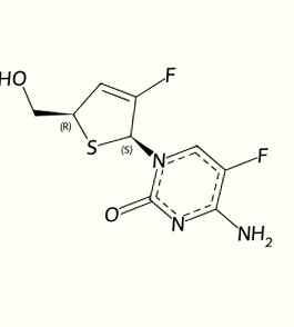 Nc1nc(=O)n([C@H]2S[C@@H](CO)C=C2F)cc1F